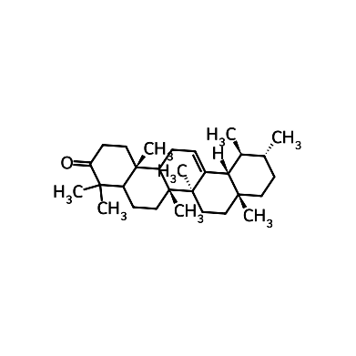 C[C@H]1[C@H](C)CC[C@]2(C)CC[C@]3(C)C(=CCC4[C@@]5(C)CCC(=O)C(C)(C)C5CC[C@]43C)[C@H]12